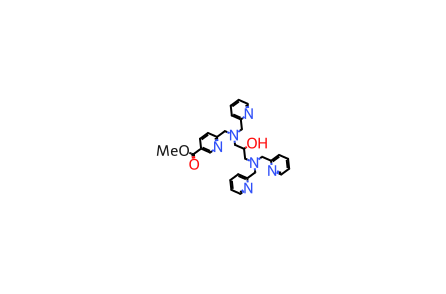 COC(=O)c1ccc(CN(Cc2ccccn2)CC(O)CN(Cc2ccccn2)Cc2ccccn2)nc1